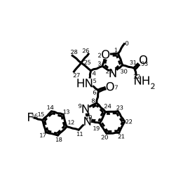 Cc1oc(C(NC(=O)c2nn(Cc3ccc(F)cc3)c3ccccc23)C(C)(C)C)nc1C(N)=O